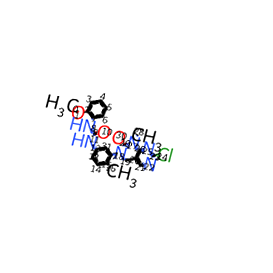 COc1ccccc1NC(=O)Nc1ccc(C)c(N2Cc3cnc(Cl)nc3N(C)C2=O)c1